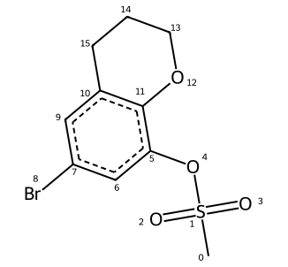 CS(=O)(=O)Oc1cc(Br)cc2c1OCCC2